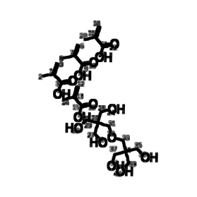 C=C(C)C(=O)O.C=C(C)C(=O)O.C=C(C)C(=O)O.C=C(C)C(=O)O.OCC(CO)(CO)COCC(CO)(CO)CO